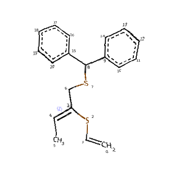 C=CS/C(=C\C)CSC(c1ccccc1)c1ccccc1